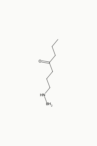 BNCCCC(=O)CCC